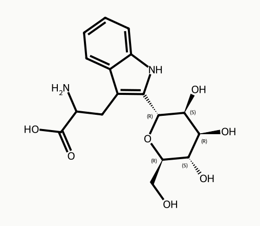 NC(Cc1c([C@H]2O[C@H](CO)[C@@H](O)[C@H](O)[C@@H]2O)[nH]c2ccccc12)C(=O)O